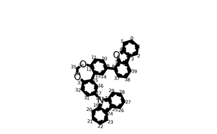 c1ccc2c(c1)oc1c(-c3ccc4c(c3)-c3cc(-n5c6ccccc6c6ccccc65)ccc3OCO4)cccc12